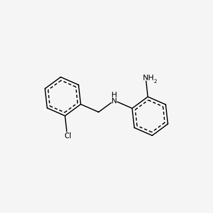 Nc1ccccc1NCc1ccccc1Cl